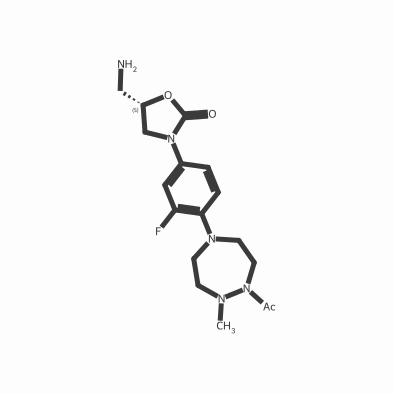 CC(=O)N1CCN(c2ccc(N3C[C@H](CN)OC3=O)cc2F)CCN1C